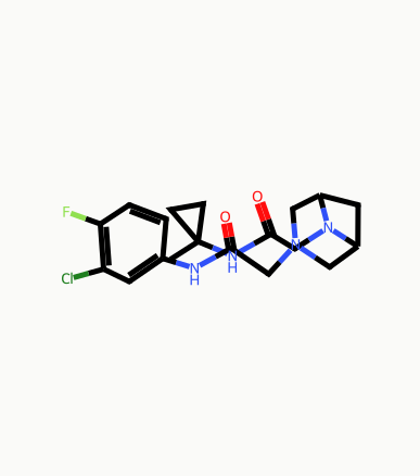 CC1(NC(=O)CN2C3CC2CN(CC(=O)Nc2ccc(F)c(Cl)c2)C3)CC1